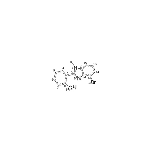 Cn1c(-c2ccccc2O)nc2c(Br)cccc21